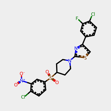 O=[N+]([O-])c1cc(S(=O)(=O)C2CCN(c3nc(-c4ccc(Cl)c(F)c4)cs3)CC2)ccc1Cl